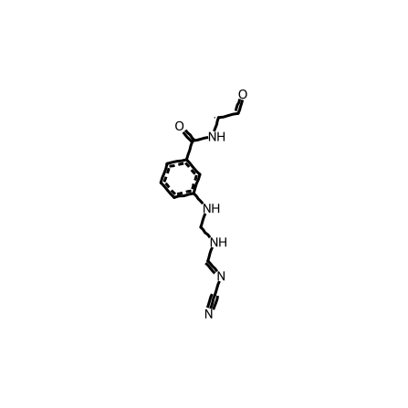 N#CN=CNCNc1cccc(C(=O)N[CH]C=O)c1